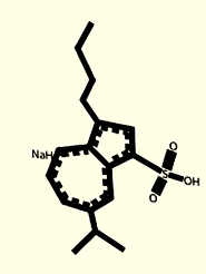 CCCCc1cc(S(=O)(=O)O)c2cc(C(C)C)cccc1-2.[NaH]